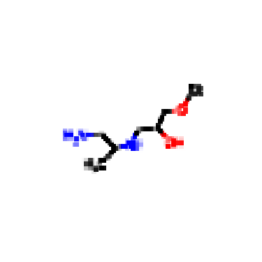 CCOCC(O)CNC(C)CN